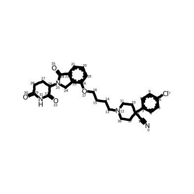 N#CC1(c2ccc(Cl)cc2)CCN(CCCCOc2cccc3c2CN(C2CCC(=O)NC2=O)C3=O)CC1